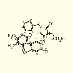 CCOC(=O)CN1C(=O)C(Cc2ccccc2)SC1=Nc1cc(-n2c(=O)cc(C(F)(F)F)n(C)c2=O)c(F)cc1Cl